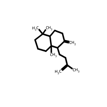 C=C(C)CCC1C(=C)CCC2C(C)(C)CCCC12C